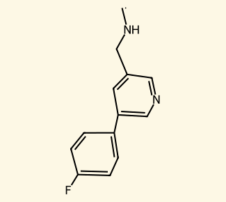 [CH2]NCc1cncc(-c2ccc(F)cc2)c1